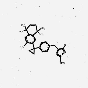 CNc1nc(N)c(Cc2ccc(C3(c4cc5c(cc4C)C(C)(C)C=CC5(C)C)CC3)cc2)s1